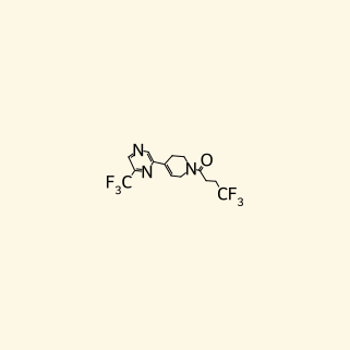 O=C(CCC(F)(F)F)N1CC=C(c2cncc(C(F)(F)F)n2)CC1